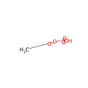 CCCCCCCCCCCCOCCOCCCCS(=O)(=O)O